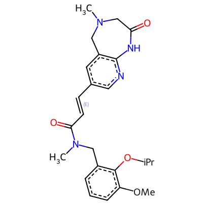 COc1cccc(CN(C)C(=O)/C=C/c2cnc3c(c2)CN(C)CC(=O)N3)c1OC(C)C